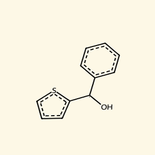 O[C](c1ccccc1)c1cccs1